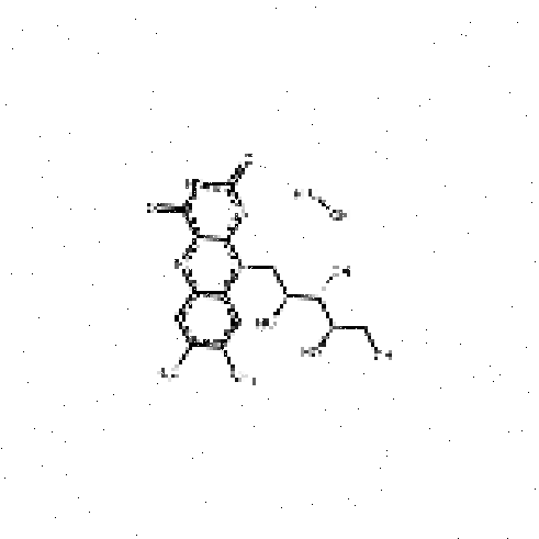 CO.Cc1cc2nc3c(=O)[nH]c(=O)nc-3n(C[C@H](O)[C@H](O)[C@H](O)CO)c2cc1C